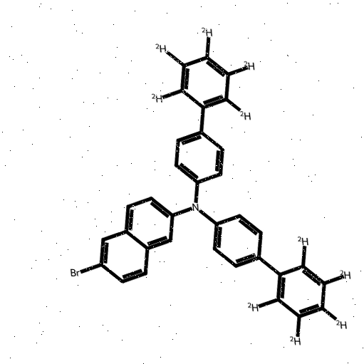 [2H]c1c([2H])c([2H])c(-c2ccc(N(c3ccc(-c4c([2H])c([2H])c([2H])c([2H])c4[2H])cc3)c3ccc4cc(Br)ccc4c3)cc2)c([2H])c1[2H]